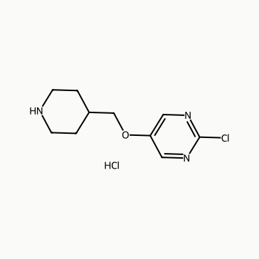 Cl.Clc1ncc(OCC2CCNCC2)cn1